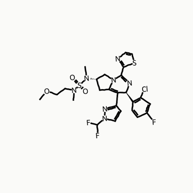 COCCN(C)S(=O)(=O)N(C)[C@H]1CC2=C(c3ccn(C(F)F)n3)[C@H](c3ccc(F)cc3Cl)N=C(c3nccs3)N2C1